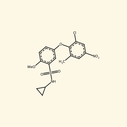 COc1ccc(Oc2c(C)cc([N+](=O)[O-])cc2Cl)cc1S(=O)(=O)NC1CC1